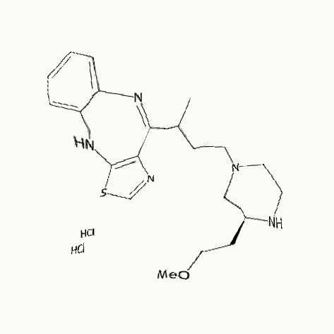 COCC[C@H]1CN(CCC(C)C2=Nc3ccccc3Nc3scnc32)CCN1.Cl.Cl